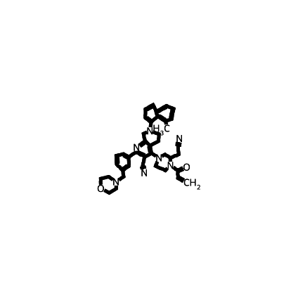 C=CC(=O)N1CCN(c2c(C#N)c(-c3cccc(CN4CCOCC4)c3)nc3c2CCN(c2cccc4cccc(C)c24)C3)CC1CC#N